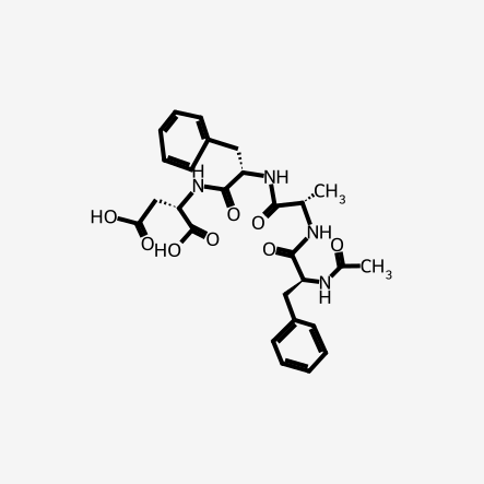 CC(=O)N[C@@H](Cc1ccccc1)C(=O)N[C@@H](C)C(=O)N[C@@H](Cc1ccccc1)C(=O)N[C@@H](CC(=O)O)C(=O)O